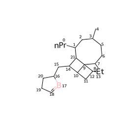 CCCC1CC(C)CCC(C)C23C(C[C@@H]2CC)C(CC2B=CCC2)C13